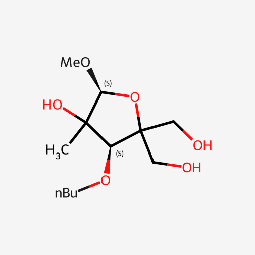 CCCCO[C@@H]1C(CO)(CO)O[C@H](OC)C1(C)O